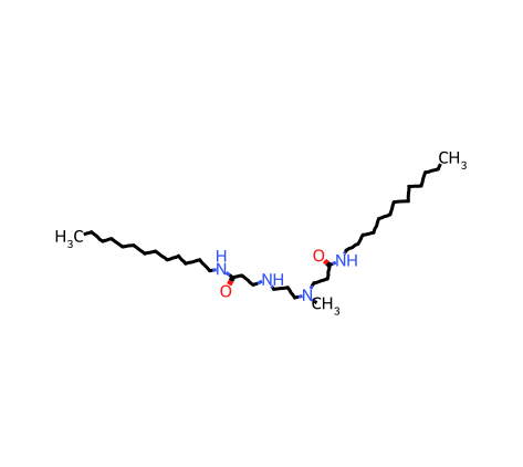 CCCCCCCCCCCCCNC(=O)CCNCCCN(C)CCC(=O)NCCCCCCCCCCCCC